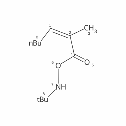 CCCCC=C(C)C(=O)ONC(C)(C)C